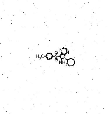 Cc1ccc(S(=O)(=O)c2c(N)n(C3CCCCCC3)c3nccnc23)cc1